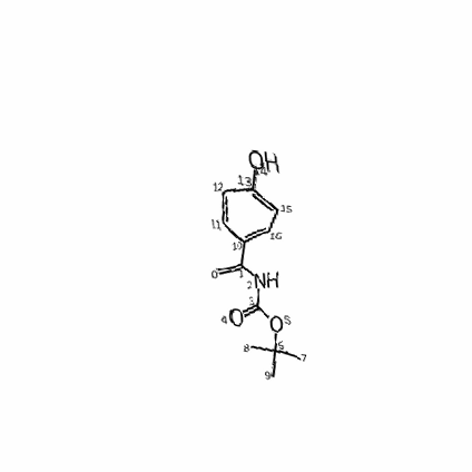 C=C(NC(=O)OC(C)(C)C)c1ccc(O)cc1